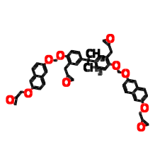 CC(C)(c1ccc(OCOc2ccc3cc(OCC4CO4)ccc3c2)c(CC2CO2)c1)c1ccc(OCOc2ccc3cc(OCC4CO4)ccc3c2)c(CC2CO2)c1